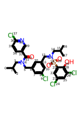 CC(C)CN(Cc1cc(Cl)cc(CN(CC(C)C)S(=O)(=O)c2cc(Cl)cc(Cl)c2O)c1)C(=O)c1ccc(Cl)nc1